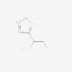 CCC(C)C1=NCN=N1